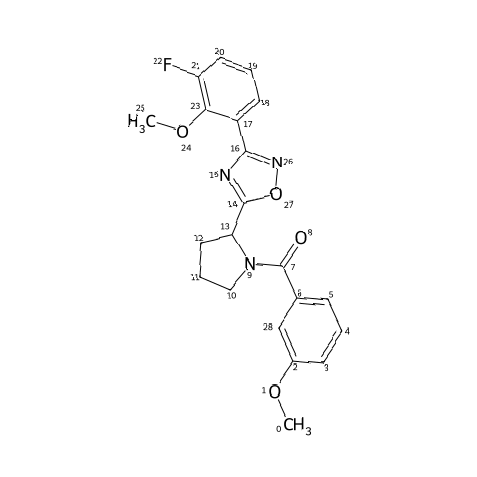 COc1cccc(C(=O)N2CCCC2c2nc(-c3cccc(F)c3OC)no2)c1